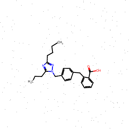 CCCCc1nc(CCC)n(Cc2ccc(Cc3ccccc3C(=O)O)cc2)n1